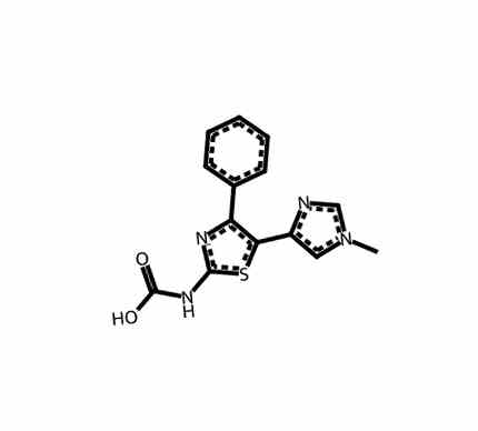 Cn1cnc(-c2sc(NC(=O)O)nc2-c2ccccc2)c1